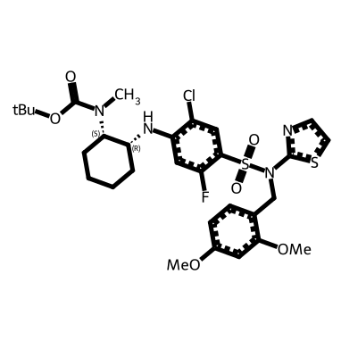 COc1ccc(CN(c2nccs2)S(=O)(=O)c2cc(Cl)c(N[C@@H]3CCCC[C@@H]3N(C)C(=O)OC(C)(C)C)cc2F)c(OC)c1